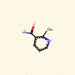 CSc1ncccc1C([NH])=O